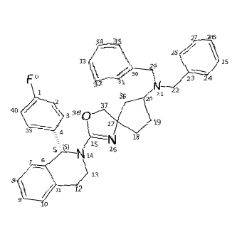 Fc1ccc([C@H]2c3ccccc3CCN2C2=NC3(CCC(N(Cc4ccccc4)Cc4ccccc4)C3)CO2)cc1